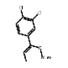 [CH2]CCCCCOC(=CC)c1ccc(Cl)c(Cl)c1